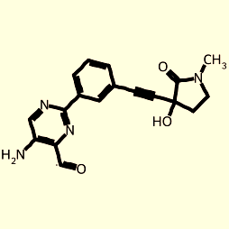 CN1CCC(O)(C#Cc2cccc(-c3ncc(N)c([C]=O)n3)c2)C1=O